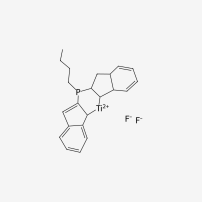 CCCCP1C2=Cc3ccccc3[CH]2[Ti+2][CH]2C3C=CC=CC3CC21.[F-].[F-]